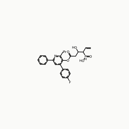 C=CC(C(O)CC(=O)Oc1c(-c2ccc(F)cc2)cc(-c2ccccc2)nc1C(C)C)[PH](=O)O